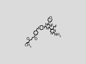 C/C=C/C(=O)CCC(=O)N1CCC(CN2CCN(c3nc(-c4cnc(N)nc4C(F)F)nc(N4CCOCC4)n3)CC2)CC1